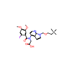 COc1cc(I)c(C(=O)N(CC(=O)O)c2ccnc3c2ccn3COCC[Si](C)(C)C)cc1OC